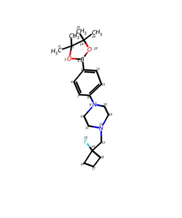 CC1(C)OB(c2ccc(N3CCN(CC4(F)CCC4)CC3)cc2)OC1(C)C